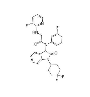 O=C1C(N(C(=O)CNc2ncccc2F)c2cccc(F)c2)c2ccccc2N1C1CCC(F)(F)CC1